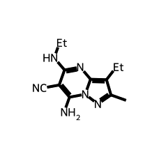 CCNc1nc2c(CC)c(C)nn2c(N)c1C#N